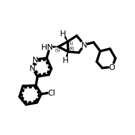 Clc1ccccc1-c1ccc(N[C@H]2[C@@H]3CN(CC4CCOCC4)C[C@@H]32)nn1